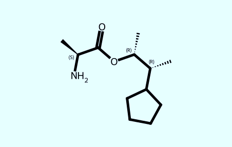 C[C@H](N)C(=O)O[C@H](C)[C@H](C)C1CCCC1